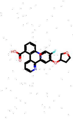 CNc1cccc(C(=O)O)c1-c1cccnc1-c1ccc(F)c(OC2CCOC2)c1